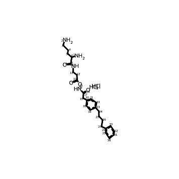 Cl.Cl.NCCCC(N)C(=O)NCCC(=O)ONC(=O)Cc1ccc(CCCCc2ccccc2)cc1